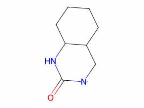 O=C1[N]CC2CCCCC2N1